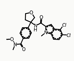 CON(C)C(=O)c1ccc(C2(NC(=O)c3cc4c(Cl)c(Cl)ccc4n3C)CCOC2)cc1